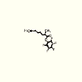 C#CCCCC[C@@H](C)C(=O)Oc1c(F)c(F)c(F)c(F)c1F